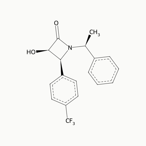 C[C@@H](c1ccccc1)N1C(=O)[C@H](O)[C@@H]1c1ccc(C(F)(F)F)cc1